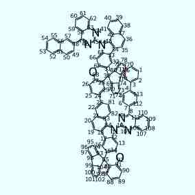 c1ccc(-c2ccc(-c3nc(-n4c5cc6c(cc5c5ccc7cc(-c8ccc9c(c8)C8(c%10cc%11c%12ccc%13ccccc%13c%12n(-c%12nc(-c%13ccc%14ccccc%14c%13)c%13ccccc%13n%12)c%11cc%10O9)c9ccccc9-c9ccccc98)ccc7c54)C4(c5ccccc5O6)c5ccccc5-c5ccccc54)nc4ccccc34)cc2)cc1